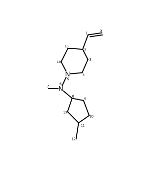 C=CC1CCN(N(C)C2CCC(C)C2)CC1